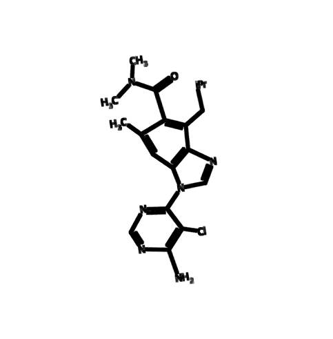 Cc1cc2c(ncn2-c2ncnc(N)c2Cl)c(CC(C)C)c1C(=O)N(C)C